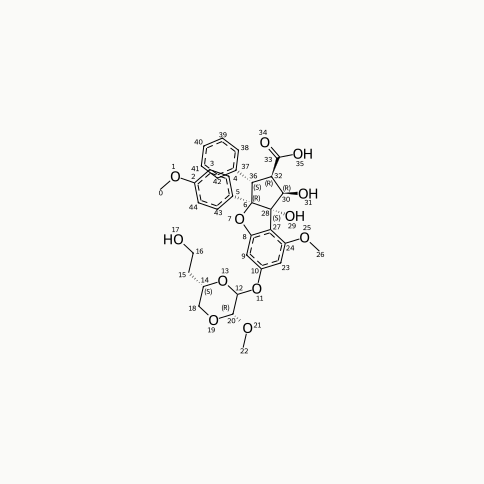 COc1ccc([C@@]23Oc4cc(OC5O[C@@H](CCO)CO[C@H]5OC)cc(OC)c4[C@]2(O)[C@H](O)[C@H](C(=O)O)[C@H]3c2ccccc2)cc1